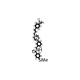 CSc1ccc(C(=O)NCc2cccc(N3CCN(CC=Cc4ccc(N(C)C)cc4)CC3)c2)cc1